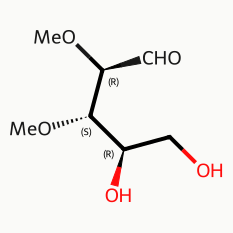 CO[C@@H]([C@H](O)CO)[C@H](C=O)OC